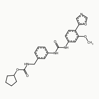 COc1cc(NC(=O)Nc2cccc(CNC(=O)OC3CCCC3)c2)ccc1-c1cnco1